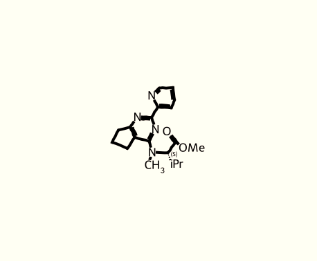 COC(=O)[C@H](C(C)C)N(C)c1nc(-c2ccccn2)nc2c1CCC2